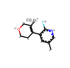 CCOC(=O)C1=C(c2cc(C)cnc2F)CCOC1